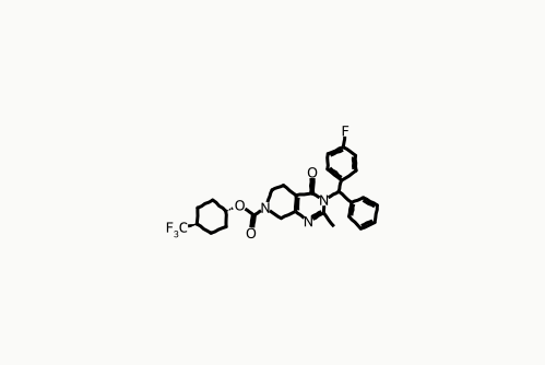 Cc1nc2c(c(=O)n1C(c1ccccc1)c1ccc(F)cc1)CCN(C(=O)O[C@H]1CC[C@H](C(F)(F)F)CC1)C2